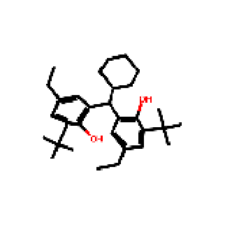 CCc1cc(C(c2cc(CC)cc(C(C)(C)C)c2O)C2CCCCC2)c(O)c(C(C)(C)C)c1